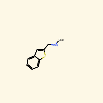 O=CNCc1cc2ccccc2s1